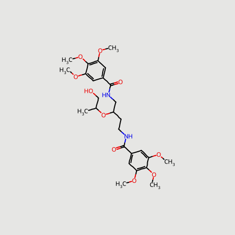 COc1cc(C(=O)NCCC(CNC(=O)c2cc(OC)c(OC)c(OC)c2)OC(C)CO)cc(OC)c1OC